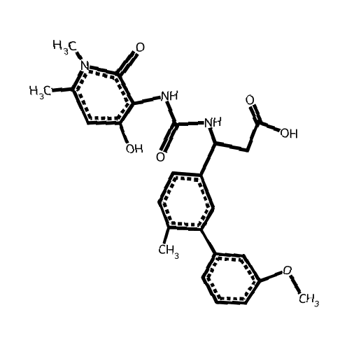 COc1cccc(-c2cc(C(CC(=O)O)NC(=O)Nc3c(O)cc(C)n(C)c3=O)ccc2C)c1